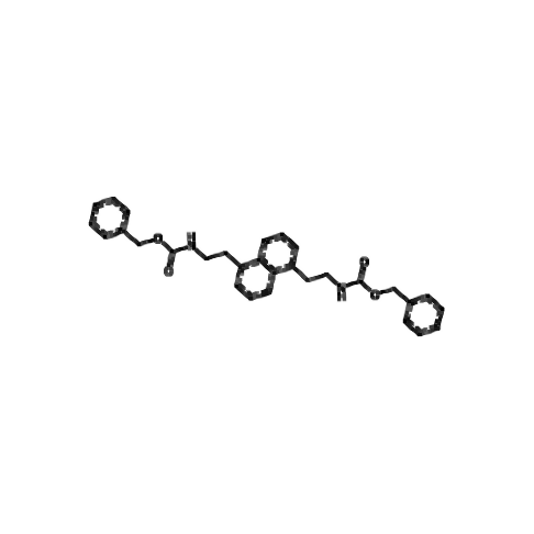 O=C(NCCc1cccc2c(CCNC(=O)OCc3ccccc3)cccc12)OCc1ccccc1